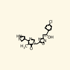 Cc1c(-c2cn[nH]c2)ncn(Cc2nc(C[C@H](O)c3ccc(Cl)cc3)no2)c1=O